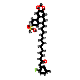 Cc1ccc(F)c(CC(=O)CCCCCCCCCCCCCCc2cc3c(cc2-c2ccc(S(C)(=O)=O)cc2)OCO3)c1